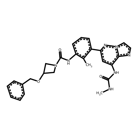 CNC(=O)Nc1cc(-c2cccc(NC(=O)N3CC(OCc4ccccc4)C3)c2C)nn2ccnc12